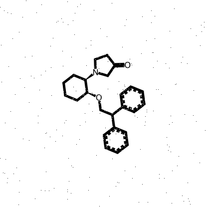 O=C1CCN([C@@H]2CCCC[C@@H]2OCC(c2ccccc2)c2ccccc2)C1